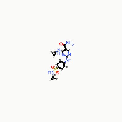 NC(=O)c1cnc(Nc2ccc(S(=O)(=O)NC3CC3)cc2)nc1NC1CC1